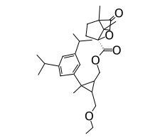 CCOCC1C(COC(=O)[C@@]23CCC(C)(C(=O)O2)C3(C)C)C1(C)c1cc(C(C)C)cc(C(C)C)c1